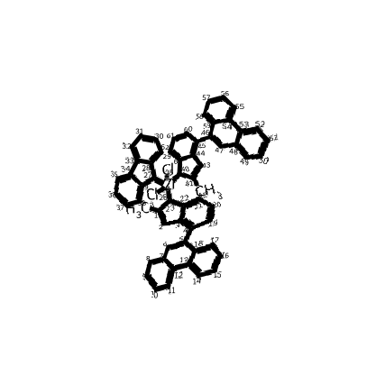 CC1=Cc2c(-c3cc4ccccc4c4ccccc34)cccc2[CH]1[Zr]([Cl])([Cl])(=[C]1c2ccccc2-c2ccccc21)[CH]1C(C)=Cc2c(-c3cc4ccccc4c4ccccc34)cccc21